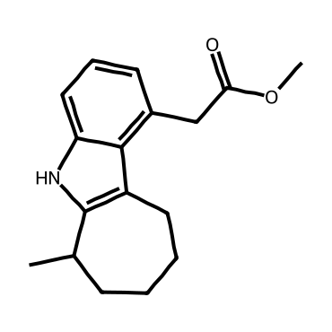 COC(=O)Cc1cccc2[nH]c3c(c12)CCCCC3C